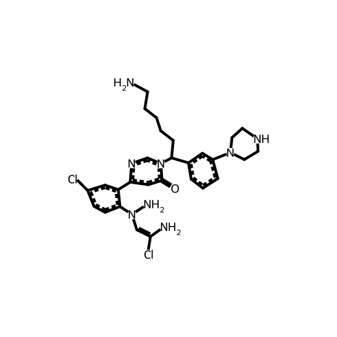 NCCCCCC(c1cccc(N2CCNCC2)c1)n1cnc(-c2cc(Cl)ccc2N(N)/C=C(\N)Cl)cc1=O